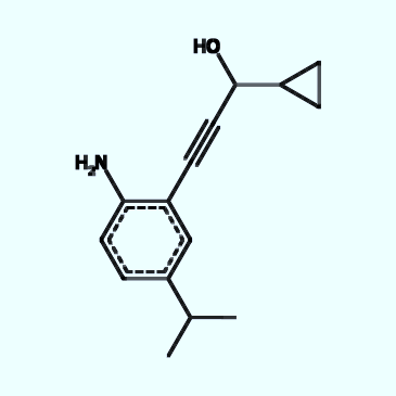 CC(C)c1ccc(N)c(C#CC(O)C2CC2)c1